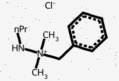 CCCN[N+](C)(C)Cc1ccccc1.[Cl-]